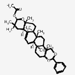 CC(=O)O[C@H]1O[C@]2(C)CC[C@]3(C)C(=CC[C@@H]4[C@@]5(C)CCC6OC(c7ccccc7)OC[C@@]6(C)C5CC[C@]43C)[C@H]2CC1(C)C